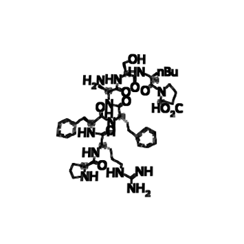 CCCC[C@H](NC(=O)[C@H](CO)NC(=O)[C@H](CN)NC(=O)[C@H](CCc1ccccc1)NC(=O)[C@H](Cc1ccccc1)NC(=O)[C@H](CCCNC(=N)N)NC(=O)[C@@H]1CCCN1)C(=O)N1CCC[C@@H]1C(=O)O